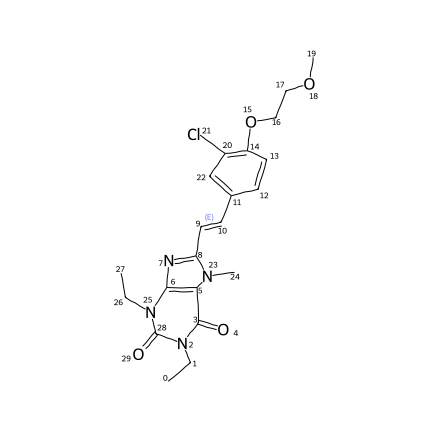 CCn1c(=O)c2c(nc(/C=C/c3ccc(OCCOC)c(Cl)c3)n2C)n(CC)c1=O